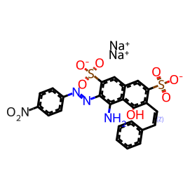 Nc1c(N=Nc2ccc([N+](=O)[O-])cc2)c(S(=O)(=O)[O-])cc2cc(S(=O)(=O)[O-])c(/C=C\c3ccccc3)c(O)c12.[Na+].[Na+]